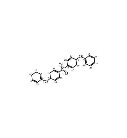 O=S(=O)(C1=CCC(OC2=CCCC=C2)C=C1)C1=CCC(Oc2ccccc2)C=C1